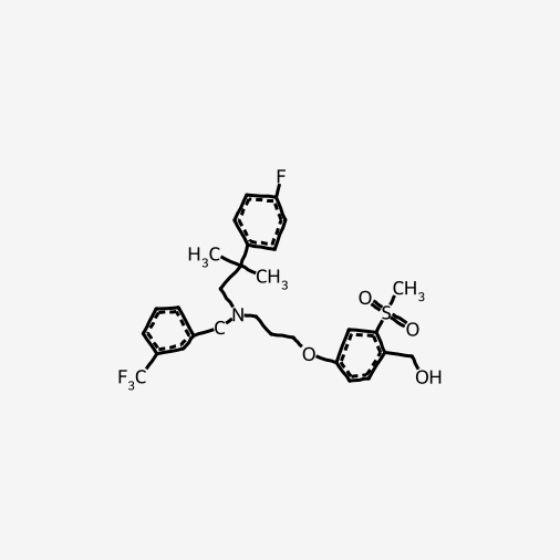 CC(C)(CN(CCCOc1ccc(CO)c(S(C)(=O)=O)c1)Cc1cccc(C(F)(F)F)c1)c1ccc(F)cc1